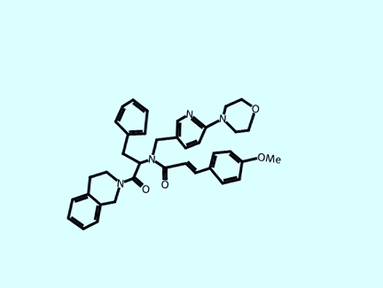 COc1ccc(C=CC(=O)N(Cc2ccc(N3CCOCC3)nc2)C(Cc2ccccc2)C(=O)N2CCc3ccccc3C2)cc1